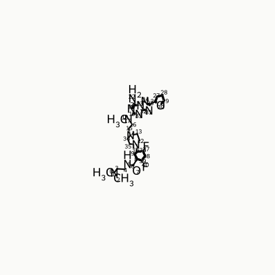 CN(C)CCNC(=O)c1cc(N2CCN(CCN(C)c3nc(N)n4nc(-c5ccco5)nc4n3)CC2)c(F)cc1F